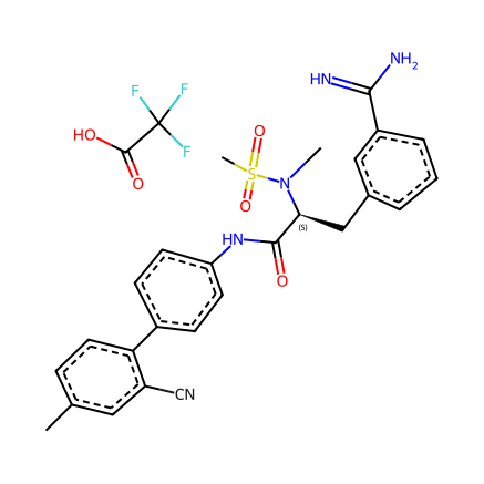 Cc1ccc(-c2ccc(NC(=O)[C@H](Cc3cccc(C(=N)N)c3)N(C)S(C)(=O)=O)cc2)c(C#N)c1.O=C(O)C(F)(F)F